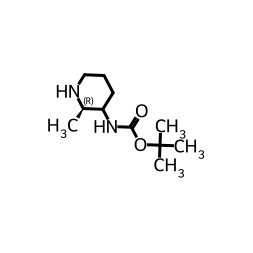 C[C@H]1NCCCC1NC(=O)OC(C)(C)C